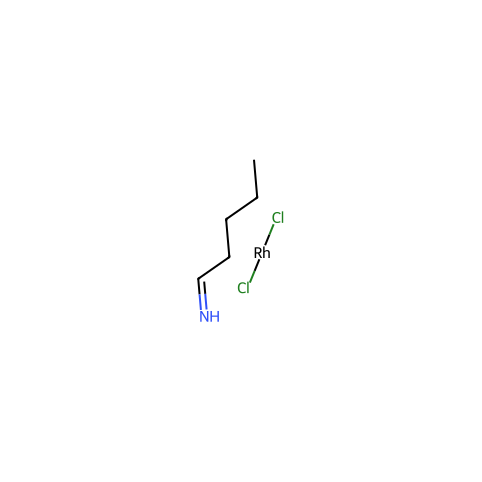 CCCCC=N.[Cl][Rh][Cl]